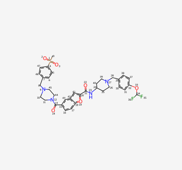 CS(=O)(=O)c1ccc(CN2CCN(C(=O)c3ccc4oc(C(=O)NC5CCN(Cc6ccc(OC(F)F)cc6)CC5)cc4c3)CC2)cc1